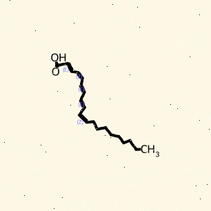 CCCCCCCCC\C=C/C=C/C=C/C=C\C=C\C(=O)O